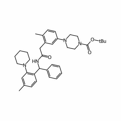 Cc1ccc(C(NC(=O)Cc2cc(N3CCN(C(=O)OC(C)(C)C)CC3)ccc2C)c2ccccc2)c(N2CCCCC2)c1